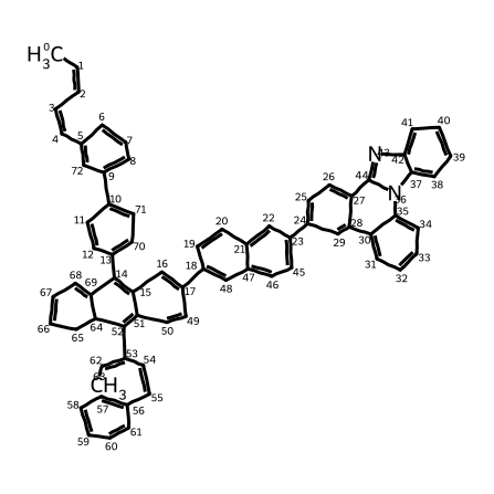 C/C=C\C=C/c1cccc(-c2ccc(C3=c4cc(-c5ccc6cc(-c7ccc8c(c7)c7ccccc7n7c9ccccc9nc87)ccc6c5)ccc4=C(C(/C=C\c4ccccc4)=C/C)C4CC=CC=C34)cc2)c1